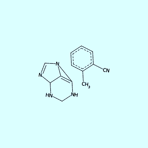 C1=NC2NCNC3=C2N13.Cc1ccccc1C#N